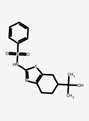 CC(C)(O)C1CCc2nc(NS(=O)(=O)c3ccccc3)sc2C1